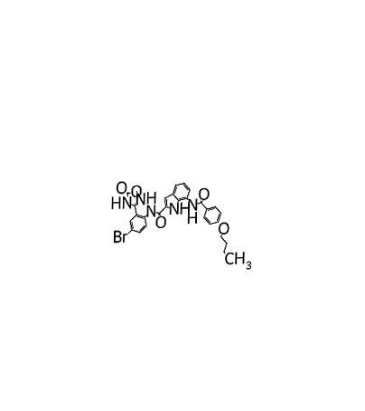 CCCCOc1ccc(C(=O)Nc2cccc3cc(C(=O)Nc4ccc(Br)cc4-c4noc(=O)[nH]4)[nH]c23)cc1